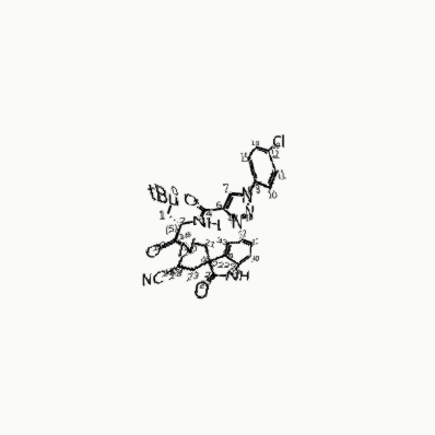 CC(C)(C)C[C@H](NC(=O)c1cn(-c2ccc(Cl)cc2)nn1)C(=O)N1C[C@]2(C[C@H]1C#N)C(=O)Nc1ccccc12